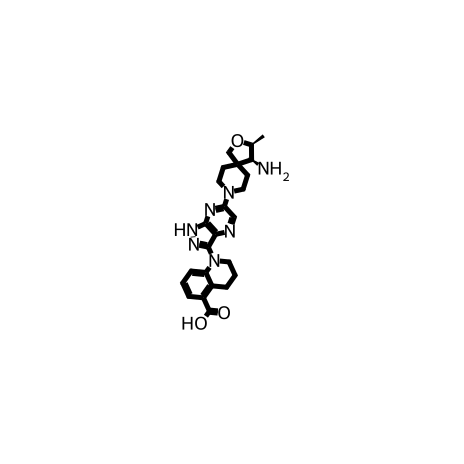 C[C@@H]1OCC2(CCN(c3cnc4c(N5CCCc6c(C(=O)O)cccc65)n[nH]c4n3)CC2)[C@@H]1N